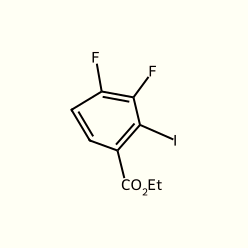 CCOC(=O)c1ccc(F)c(F)c1I